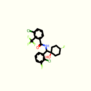 O=C(NC(c1cccc(F)c1Cl)[C@]1(O)CC[C@H](F)CC1)c1cccc(Cl)c1C(F)(F)F